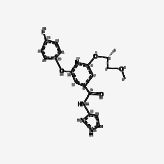 COC[C@@H](C)Oc1cc(C(=O)Nc2cc[nH]n2)cc(Oc2ccc(F)cc2)n1